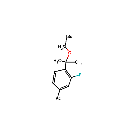 CC(=O)c1ccc(C(C)(C)O[SiH2]C(C)(C)C)c(F)c1